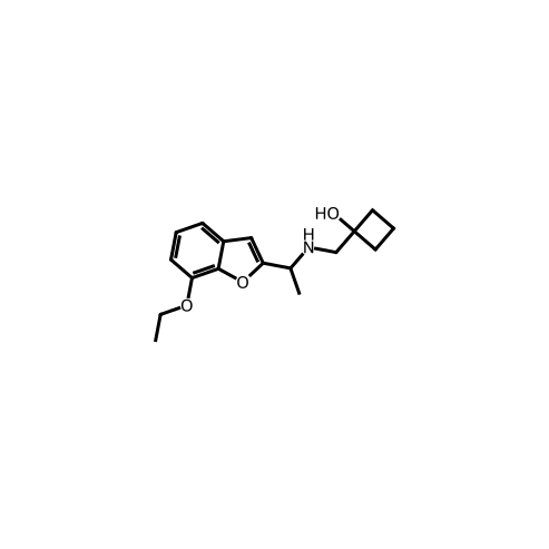 CCOc1cccc2cc(C(C)NCC3(O)CCC3)oc12